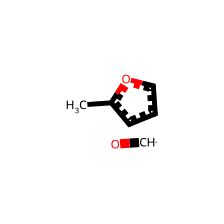 Cc1ccco1.[CH]=O